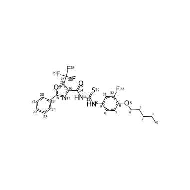 CCCCCOc1ccc(NC(=S)NC(=O)c2nc(-c3ccccc3)oc2C(F)(F)F)cc1F